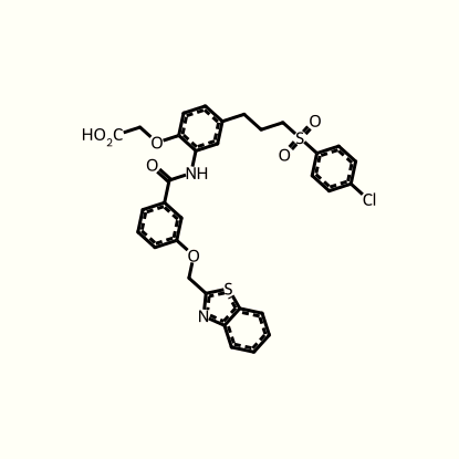 O=C(O)COc1ccc(CCCS(=O)(=O)c2ccc(Cl)cc2)cc1NC(=O)c1cccc(OCc2nc3ccccc3s2)c1